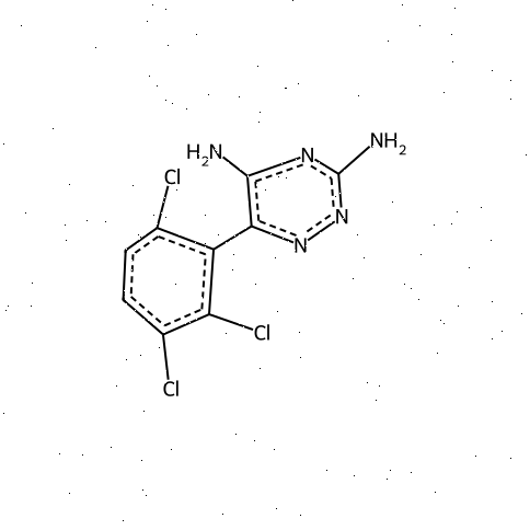 Nc1nnc(-c2c(Cl)ccc(Cl)c2Cl)c(N)n1